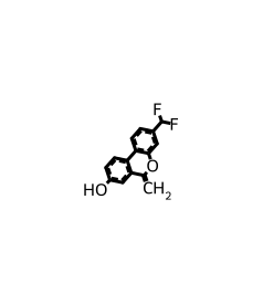 C=C1Oc2cc(C(F)F)ccc2-c2ccc(O)cc21